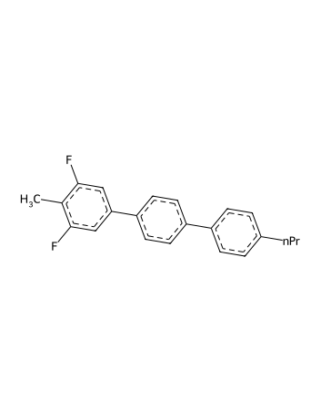 CCCc1ccc(-c2ccc(-c3cc(F)c(C)c(F)c3)cc2)cc1